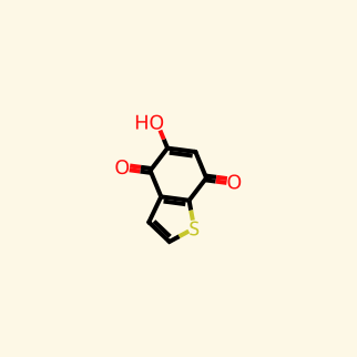 O=C1C(O)=CC(=O)c2sccc21